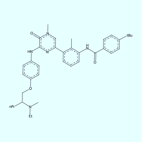 CCCC(COc1ccc(Nc2nc(-c3cccc(NC(=O)c4ccc(C(C)(C)C)cc4)c3C)cn(C)c2=O)cc1)N(C)CC